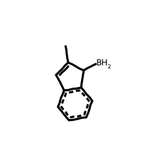 BC1C(C)=Cc2ccccc21